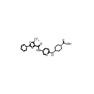 CC(C)COC(=O)N1CCC(Nc2ccc(NC(=O)c3nc(-c4ccccc4)oc3C(F)(F)F)cn2)CC1